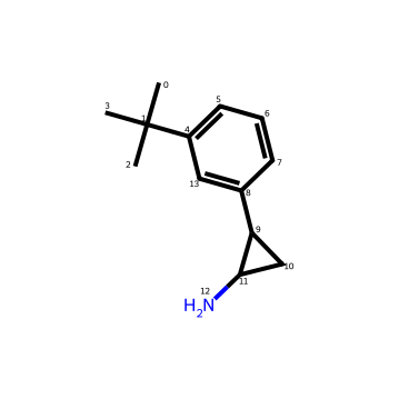 CC(C)(C)c1cccc(C2CC2N)c1